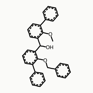 COc1c(-c2ccccc2)cccc1C(O)c1cccc(-c2ccccc2)c1OCc1ccccc1